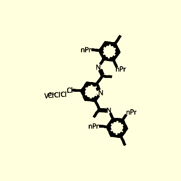 CCCc1cc(C)cc(CCC)c1N=C(C)c1cc(Cl)cc(C(C)=Nc2c(CCC)cc(C)cc2CCC)n1.[Cl-].[Cl-].[Cl-].[V+3]